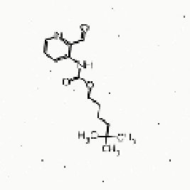 CC(C)(C)CCCCOC(=O)Nc1cccnc1C=O